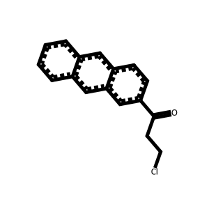 O=C(CCCl)c1ccc2cc3ccccc3cc2c1